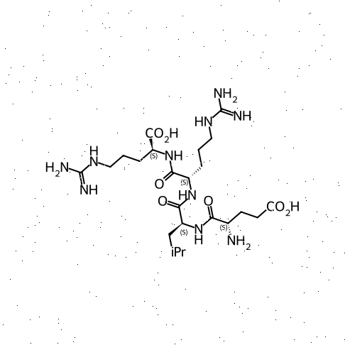 CC(C)C[C@H](NC(=O)[C@@H](N)CCC(=O)O)C(=O)N[C@@H](CCCNC(=N)N)C(=O)N[C@@H](CCCNC(=N)N)C(=O)O